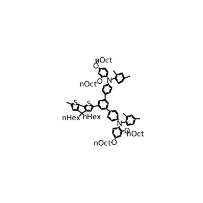 CCCCCCCCOc1ccc(N(c2ccc(-c3cc(-c4ccc(N(c5ccc(C)cc5C)c5ccc(OCCCCCCCC)cc5OCCCCCCCC)cc4)cc(-c4cc5c(s4)-c4sc(C)cc4C5(CCCCCC)CCCCCC)c3)cc2)c2ccc(C)cc2C)c(OCCCCCCCC)c1